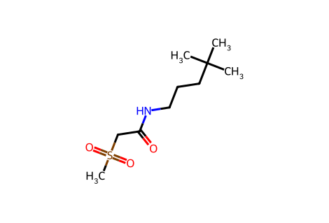 CC(C)(C)CCCNC(=O)CS(C)(=O)=O